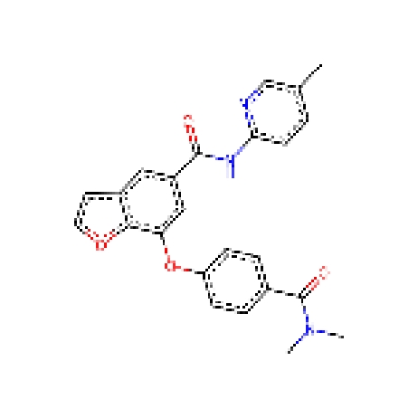 Cc1ccc(NC(=O)c2cc(Oc3ccc(C(=O)N(C)C)cc3)c3occc3c2)nc1